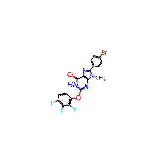 Cn1c(-c2ccc(Br)cc2)nc2c(=O)[nH]c(Oc3ccc(F)c(F)c3F)nc21